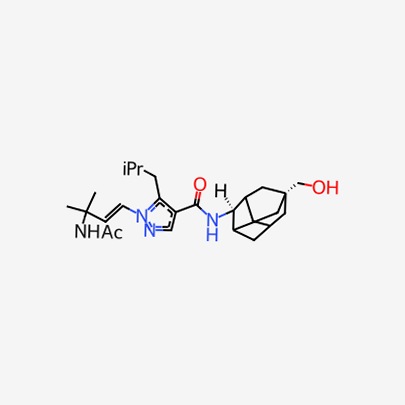 CC(=O)NC(C)(C)/C=C/n1ncc(C(=O)N[C@H]2C3CC4CC2C[C@](CO)(C4)C3)c1CC(C)C